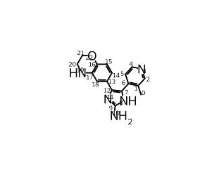 Cc1cnccc1-c1[nH]c(N)nc1-c1ccc2c(c1)NCCO2